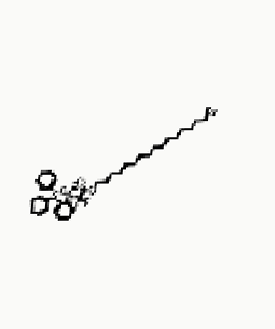 O=C(OCCCCCCCCCCCCCCCCBr)C(F)(F)S(=O)(=O)OS(c1ccccc1)(c1ccccc1)c1ccccc1